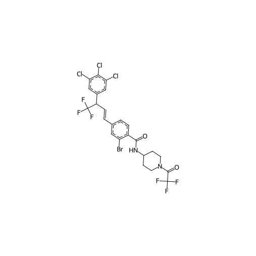 O=C(NC1CCN(C(=O)C(F)(F)F)CC1)c1ccc(/C=C/C(c2cc(Cl)c(Cl)c(Cl)c2)C(F)(F)F)cc1Br